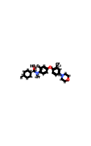 CC(C)N(c1ccc(Oc2ccc(N3CCOCC3)cc2C(F)(F)F)cc1C(=O)O)C(=O)[C@H]1CC[C@H](C)CC1